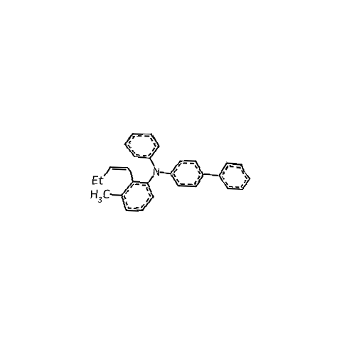 CC/C=C\c1c(C)cccc1N(c1ccccc1)c1ccc(-c2ccccc2)cc1